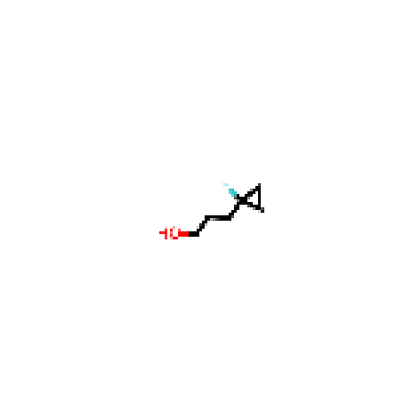 OCCCC1(F)CC1